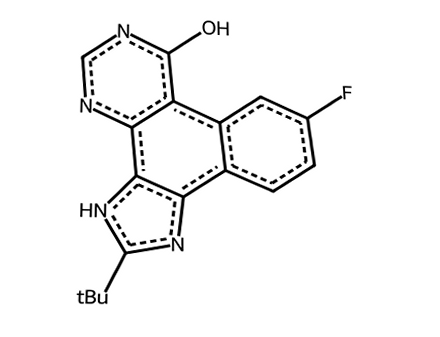 CC(C)(C)c1nc2c3ccc(F)cc3c3c(O)ncnc3c2[nH]1